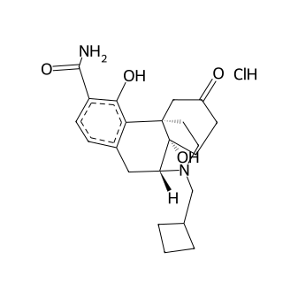 Cl.NC(=O)c1ccc2c(c1O)[C@]13CCN(CC4CCC4)[C@H](C2)[C@]1(O)CCC(=O)C3